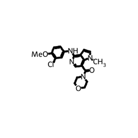 COc1ccc(Nc2ncc(C(=O)N3CCOCC3)c3c2ccn3C)cc1Cl